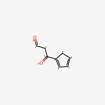 O=CCC(=O)C1=CC=CC1